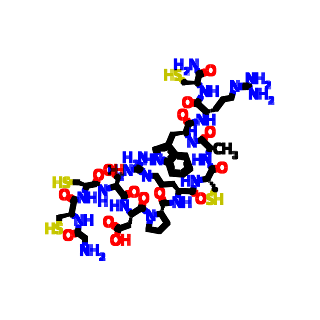 C[C@H](NC(=O)[C@H](CS)NC(=O)[C@H](CCCN=C(N)N)NC(=O)[C@@H]1CCCN1C(=O)[C@H](CC(=O)O)NC(=O)[C@H](CO)NC(=O)[C@H](CS)NC(=O)[C@H](CS)NC(=O)CN)C(=O)N[C@@H](Cc1c[nH]c2ccccc12)C(=O)N[C@@H](CCCN=C(N)N)C(=O)N[C@@H](CS)C(N)=O